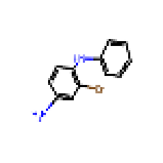 Nc1ccc(Nc2ccccc2)c(Br)c1